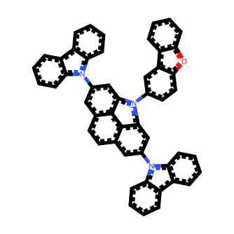 c1ccc2c(c1)oc1ccc(-n3c4cc(-n5c6ccccc6c6ccccc65)cc5ccc6cc(-n7c8ccccc8c8ccccc87)cc3c6c54)cc12